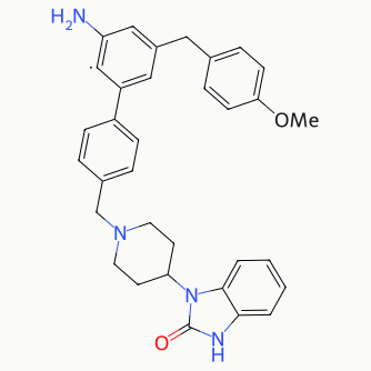 COc1ccc(Cc2cc(N)[c]c(-c3ccc(CN4CCC(n5c(=O)[nH]c6ccccc65)CC4)cc3)c2)cc1